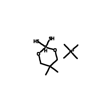 CC1(C)CO[PH](S)(S)OC1.C[N+](C)(C)C